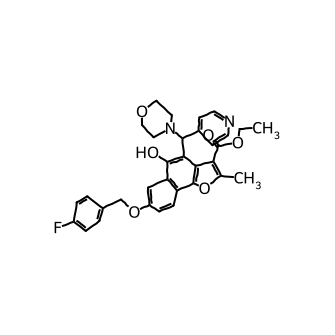 CCOC(=O)c1c(C)oc2c1c(C(c1ccncc1)N1CCOCC1)c(O)c1cc(OCc3ccc(F)cc3)ccc12